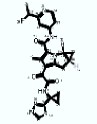 Cc1c(C(=O)C(=O)NC2(c3nncs3)CC2)c2n(c1C(=O)Nc1ccnc(C(C)F)c1)[C@@H]1C[C@@H]1C2